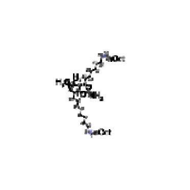 CCCCCCCC/C=C\CCCCCCCCC(CN(C)C)C(CCCCCCCC/C=C\CCCCCCCC)OC(N)=O